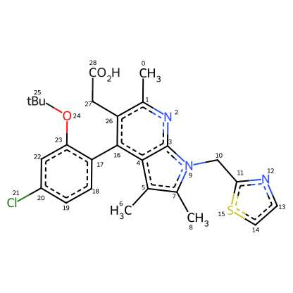 Cc1nc2c(c(C)c(C)n2Cc2nccs2)c(-c2ccc(Cl)cc2OC(C)(C)C)c1CC(=O)O